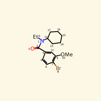 CCN(C(=O)c1ccc(Br)c(OC)c1)C1CCCCC1